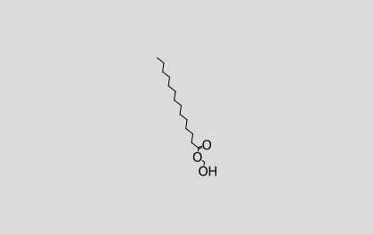 CCCCCCCCCCCCCC(=O)OCO